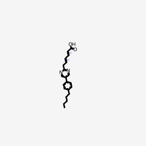 CCCCCc1ccc(-c2cnc(C/C=C/C=C/C(=O)O)nc2)cc1